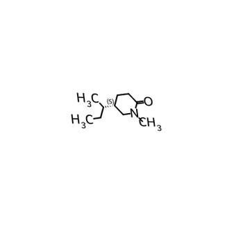 CCC(C)[C@@H]1CCC(=O)N(C)C1